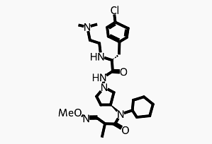 CON=CC(C)C(=O)N(C1CCCCC1)[C@H]1CCN(NC(=O)[C@@H](Cc2ccc(Cl)cc2)NCCN(C)C)C1